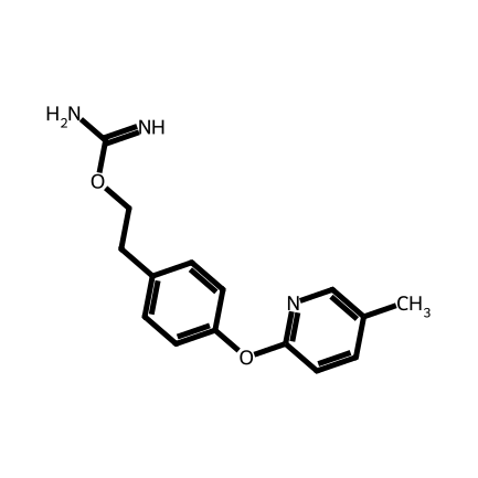 Cc1ccc(Oc2ccc(CCOC(=N)N)cc2)nc1